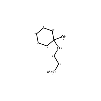 COCCOC1(O)CCCCC1